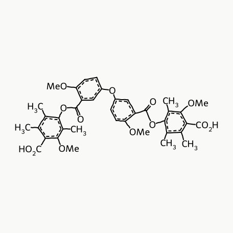 COc1ccc(Oc2ccc(OC)c(C(=O)Oc3c(C)c(C)c(C(=O)O)c(OC)c3C)c2)cc1C(=O)Oc1c(C)c(C)c(C(=O)O)c(OC)c1C